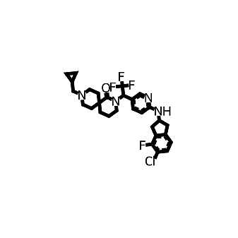 O=C1N(C(c2ccc(NC3Cc4ccc(Cl)c(F)c4C3)nc2)C(F)(F)F)CCCC12CCN(CC1CC1)CC2